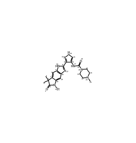 CCN1C(=O)C(C)(C)c2cc3[nH]c(-c4n[nH]cc4NC(=O)N4CCN(C)CC4)nc3cc21